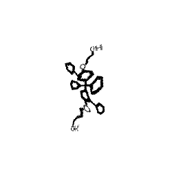 OCCCOc1ccc(C(c2ccccc2)(c2ccccc2)c2ccc(OCCCO)c(-c3ccccc3)c2)cc1-c1ccccc1